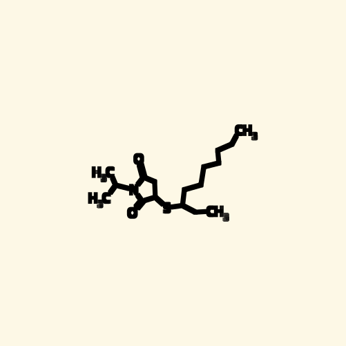 CCCCCCCC(CC)SC1CC(=O)N(C(C)C)C1=O